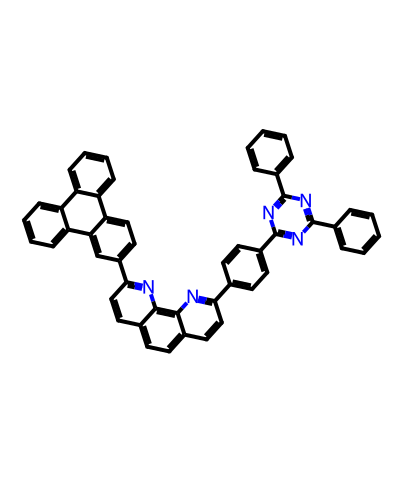 c1ccc(-c2nc(-c3ccccc3)nc(-c3ccc(-c4ccc5ccc6ccc(-c7ccc8c9ccccc9c9ccccc9c8c7)nc6c5n4)cc3)n2)cc1